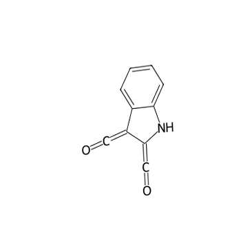 O=C=c1[nH]c2ccccc2c1=C=O